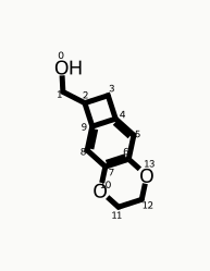 OCC1Cc2cc3c(cc21)OCCO3